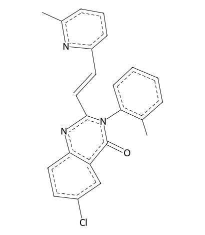 Cc1cccc(C=Cc2nc3ccc(Cl)cc3c(=O)n2-c2ccccc2C)n1